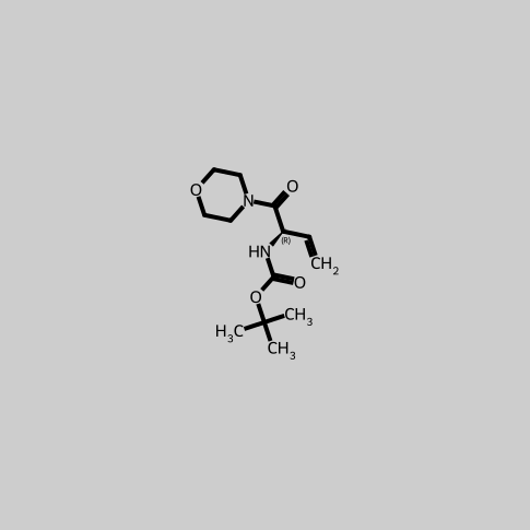 C=C[C@@H](NC(=O)OC(C)(C)C)C(=O)N1CCOCC1